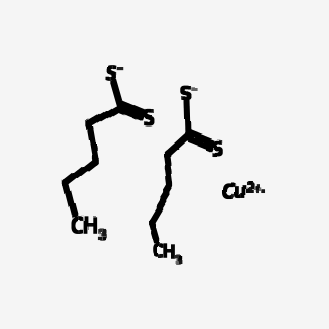 CCCCC(=S)[S-].CCCCC(=S)[S-].[Cu+2]